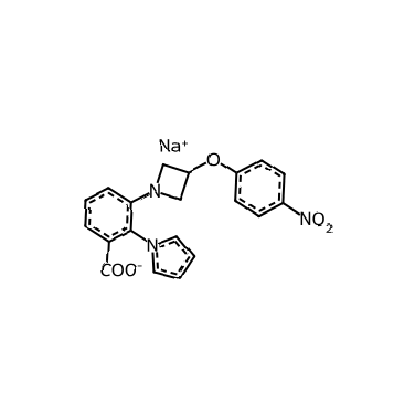 O=C([O-])c1cccc(N2CC(Oc3ccc([N+](=O)[O-])cc3)C2)c1-n1cccc1.[Na+]